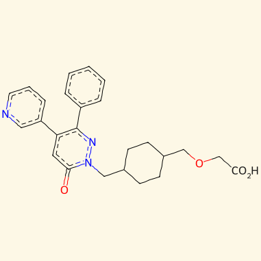 O=C(O)COCC1CCC(Cn2nc(-c3ccccc3)c(-c3cccnc3)cc2=O)CC1